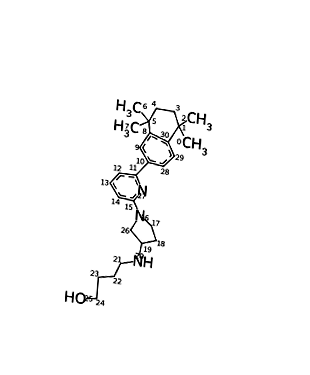 CC1(C)CCC(C)(C)c2cc(-c3cccc(N4CCC(NCCCCO)C4)n3)ccc21